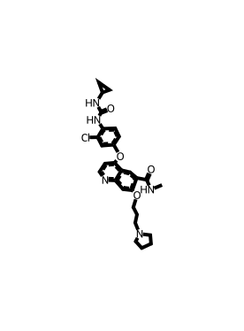 CNC(=O)c1cc2c(Oc3ccc(NC(=O)NC4CC4)c(Cl)c3)ccnc2cc1OCCCN1CCCC1